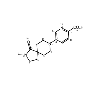 CN1CCC2(CCN(c3ccc(C(=O)O)nc3)CC2)C1=O